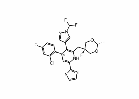 C[C@H]1OC[C@@](F)(CC2=C(c3cnn(C(F)F)c3)[C@H](c3ccc(F)cc3Cl)N=C(c3nccs3)N2)CO1